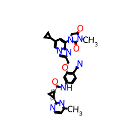 Cc1ccnc([C@H]2C[C@@H]2C(=O)Nc2ccc(C#N)c(OCc3cn4cc(C5CC5)cc(N5CC(=O)N(C)C5=O)c4n3)c2)n1